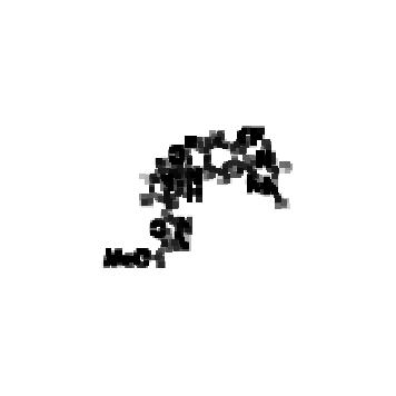 COCc1nnc(C23CC(C)CC(C2)N3C(=O)Nc2cc(-c3ncn(C)n3)c(C(F)(F)F)cc2F)o1